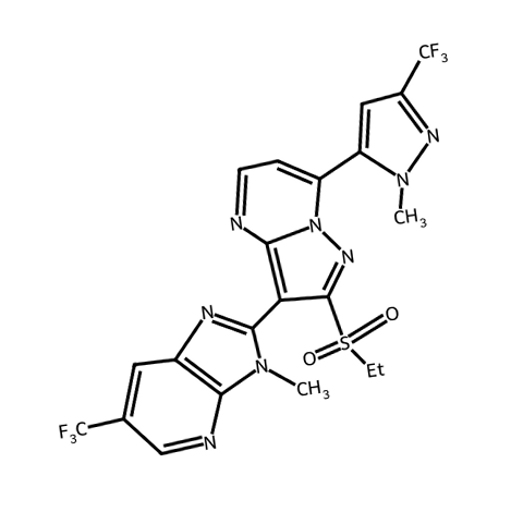 CCS(=O)(=O)c1nn2c(-c3cc(C(F)(F)F)nn3C)ccnc2c1-c1nc2cc(C(F)(F)F)cnc2n1C